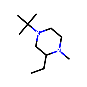 CCC1CN(C(C)(C)C)CCN1C